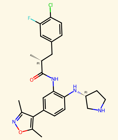 Cc1noc(C)c1-c1ccc(N[C@@H]2CCNC2)c(NC(=O)[C@H](C)Cc2ccc(Cl)c(F)c2)c1